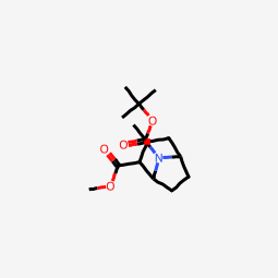 COC(=O)C1C(C)CC2CCC1N2C(=O)OC(C)(C)C